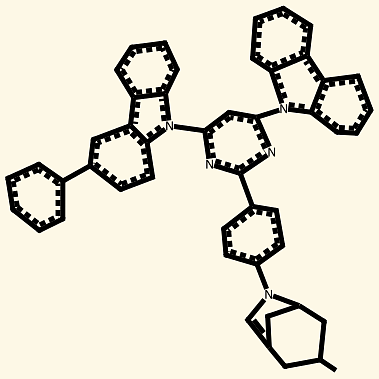 CC1CC2=CN(c3ccc(-c4nc(-n5c6ccccc6c6ccccc65)cc(-n5c6ccccc6c6cc(-c7ccccc7)ccc65)n4)cc3)C(C2)C1